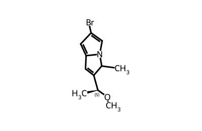 CO[C@@H](C)C1=Cc2cc(Br)cn2C1C